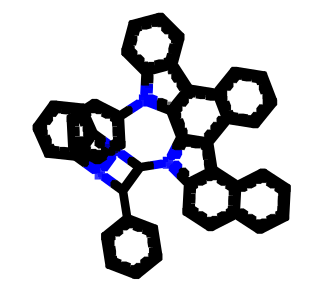 c1ccc(C2C(n3c4ccc5ccccc5c4c4c5ccccc5c5c6ccccc6n(-c6ccccc6)c5c43)n3c4ccccc4n32)cc1